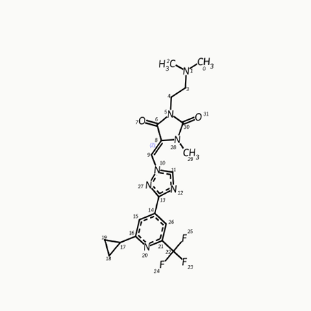 CN(C)CCN1C(=O)/C(=C/n2cnc(-c3cc(C4CC4)nc(C(F)(F)F)c3)n2)N(C)C1=O